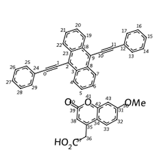 C(#Cc1c2ccccc2c(C#Cc2ccccc2)c2ccccc12)c1ccccc1.COc1ccc2c(CC(=O)O)cc(=O)oc2c1